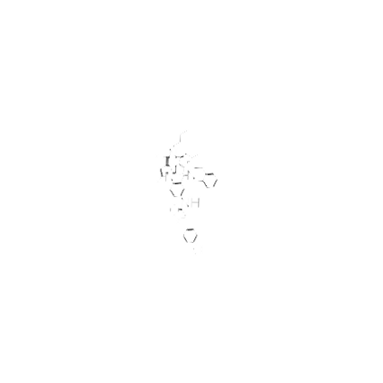 CCCCN(CCCC)C(=O)c1cc(C)n(-c2ccc(NC(=O)COc3ccc(OC)cc3)cc2C(=O)N2Cc3ccccc3C[C@H]2CO)n1